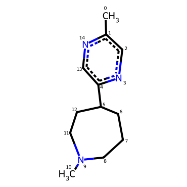 Cc1cnc(C2CCCN(C)CC2)cn1